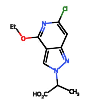 CCOc1nc(Cl)cc2nn(C(C)C(=O)O)cc12